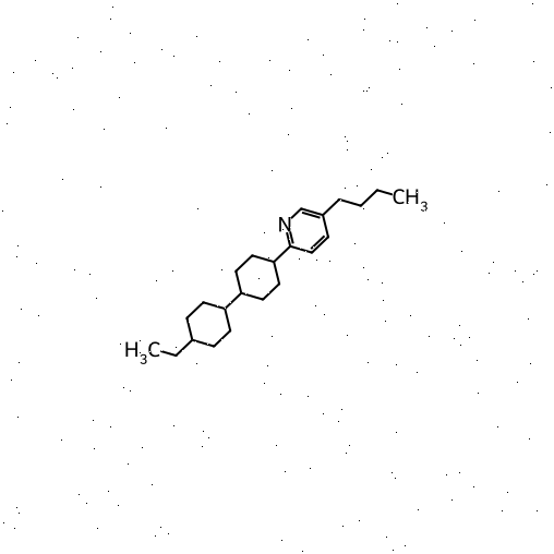 CCCCc1ccc(C2CCC(C3CCC(CC)CC3)CC2)nc1